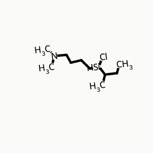 CCC(C)[SiH](Cl)CCCCN(C)C